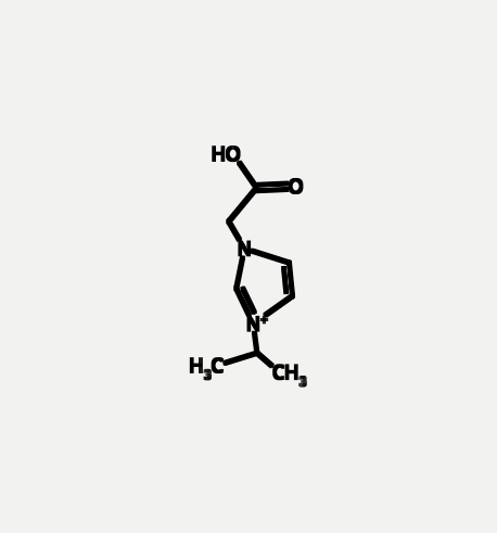 CC(C)[n+]1ccn(CC(=O)O)c1